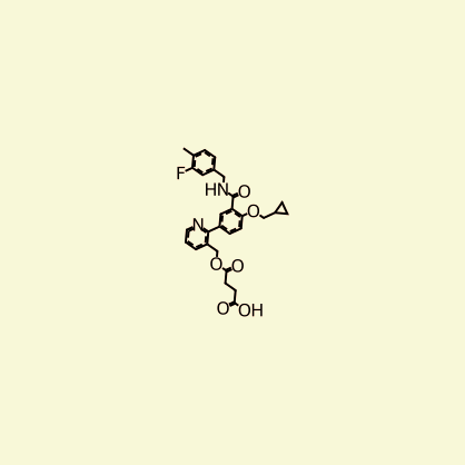 Cc1ccc(CNC(=O)c2cc(-c3ncccc3COC(=O)CCC(=O)O)ccc2OCC2CC2)cc1F